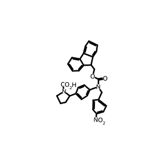 O=C(OCC1c2ccccc2-c2ccccc21)N(Cc1ccc([N+](=O)[O-])cc1)c1ccc(C2CCCN2C(=O)O)cc1